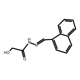 O=C(CO)NN=Cc1cccc2ccccc12